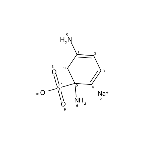 NC1=CC=CC(N)(S(=O)(=O)[O-])C1.[Na+]